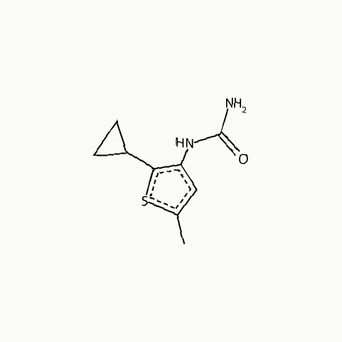 Cc1cc(NC(N)=O)c(C2CC2)s1